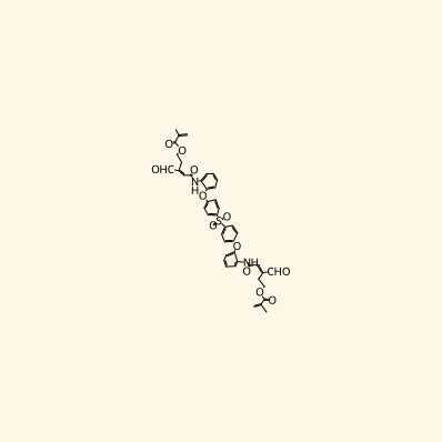 C=C(C)C(=O)OCC/C(C=O)=C\C(=O)Nc1ccccc1Oc1ccc(S(=O)(=O)c2ccc(Oc3ccccc3NC(=O)/C=C(/C=O)CCOC(=O)C(=C)C)cc2)cc1